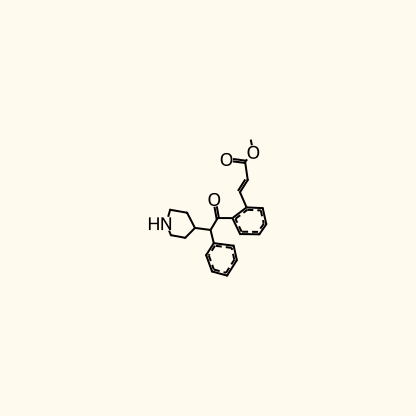 COC(=O)C=Cc1ccccc1C(=O)C(c1ccccc1)C1CCNCC1